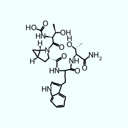 C[C@@H](O)[C@H](NC(=O)C(Cc1c[nH]c2ccccc12)NC(=O)[C@@H]1C[C@@H]2C[C@@H]2N1C(=O)[C@@H](NC(=O)O)[C@@H](C)O)C(N)=O